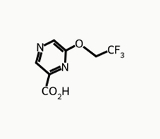 O=C(O)c1cncc(OCC(F)(F)F)n1